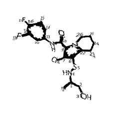 CC(CO)NSc1c(Cl)c(C(=O)Nc2ccc(F)c(F)c2)n2c1CCCC2